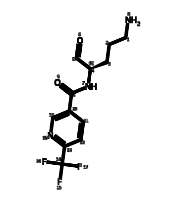 NCCC[C@H]([C]=O)NC(=O)c1ccc(C(F)(F)F)nc1